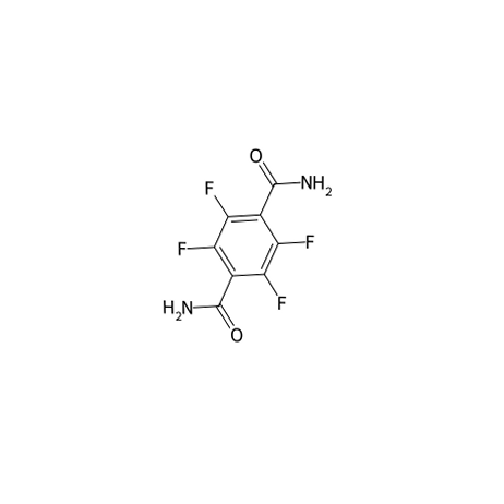 NC(=O)c1c(F)c(F)c(C(N)=O)c(F)c1F